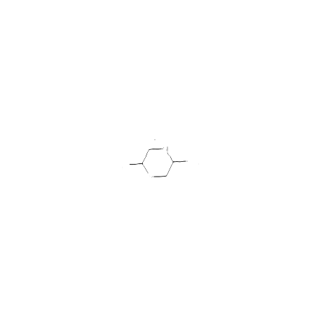 Br.CC1CNC(C)CN1